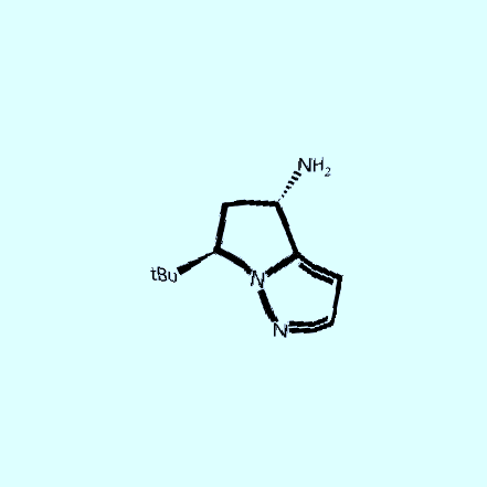 CC(C)(C)[C@H]1C[C@H](N)c2ccnn21